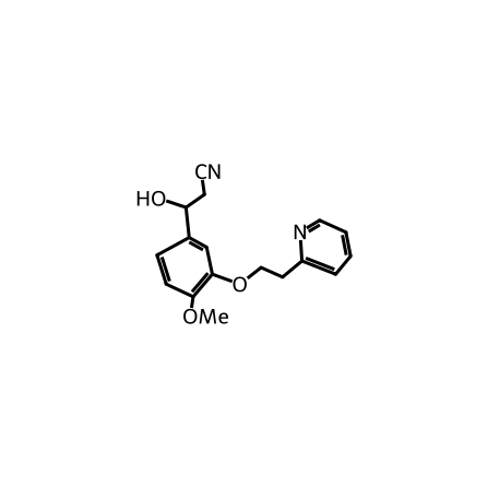 COc1ccc(C(O)CC#N)cc1OCCc1ccccn1